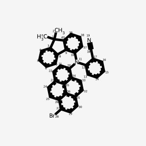 CC1(C)c2ccccc2-c2c(N(c3ccccc3C#N)c3ccc4ccc5c(Br)ccc6ccc3c4c65)cccc21